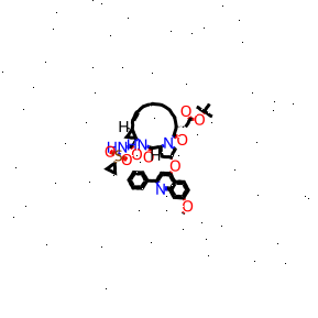 COc1ccc2c(O[C@@H]3C[C@H]4C(=O)N[C@]5(C(=O)NS(=O)(=O)C6CC6)C[C@H]5/C=C\CCCCC[C@H](CC(=O)OC(C)(C)C)C(=O)N4C3)cc(-c3ccccc3)nc2c1